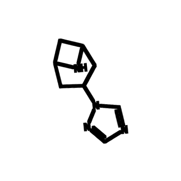 c1ncn(C2CC3CC(C2)N3)n1